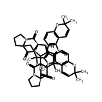 CC1(C)C=Cc2c(ccc3c2[N+]([O-])=C2C(C)(C)C4C[C@]56CCCN5C(=O)C4(NC6=O)C4N5C(=O)C67CCCN6C(=O)[C@]56C(C7)C(C)(C)c5c(c7ccc8c(c7n5O)C=CC(C)(C)O8)[C@H]6C234)O1